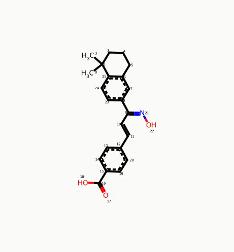 CC1(C)CCCc2cc(C(C=Cc3ccc(C(=O)O)cc3)=NO)ccc21